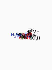 COC(=O)[C@H](CC(C)C)NP(=O)(N[C@@H](CC(C)C)C(=O)O)OC[C@H]1O[C@@H](n2ccc(N)nc2=O)C(F)(F)[C@@H]1O